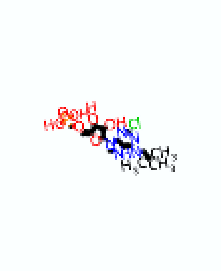 CC(C)(C)CNc1nc(Cl)nc2c1ncn2[C@@H]1OC(=COCP(=O)(O)O)[C@@H](O)[C@H]1O